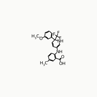 COc1cccc(C2(C(F)(F)F)C=CC(Nc3ccc(C)cc3C(=O)O)=CN2)c1